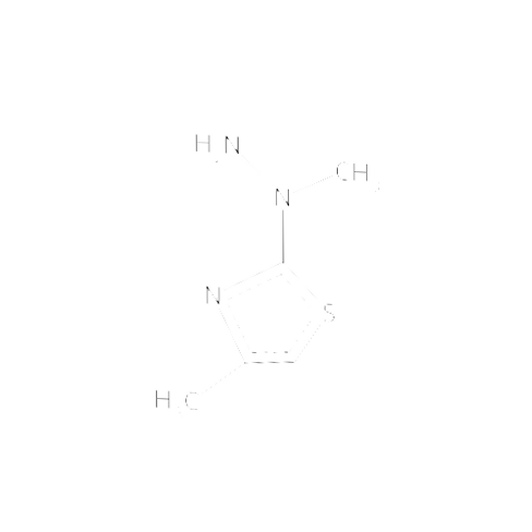 Cc1csc(N(C)N)n1